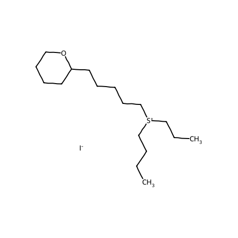 CCCC[S+](CCC)CCCCCC1CCCCO1.[I-]